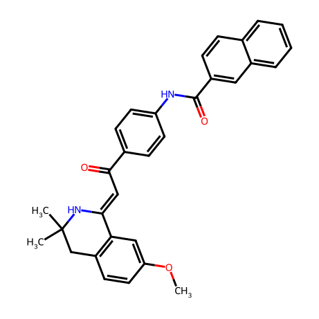 COc1ccc2c(c1)/C(=C/C(=O)c1ccc(NC(=O)c3ccc4ccccc4c3)cc1)NC(C)(C)C2